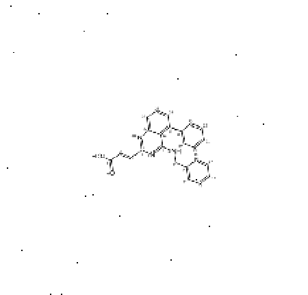 O=C(O)/C=C/c1nc(NCc2ccccn2)c2c(-c3ccccc3)cccc2n1